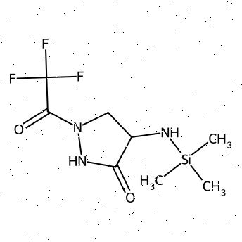 C[Si](C)(C)NC1CN(C(=O)C(F)(F)F)NC1=O